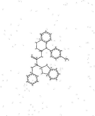 Cc1ccc(C2c3ccccc3CCN2CC(=O)N(Cc2ccccc2)C2Cc3ccccc3C2)cc1